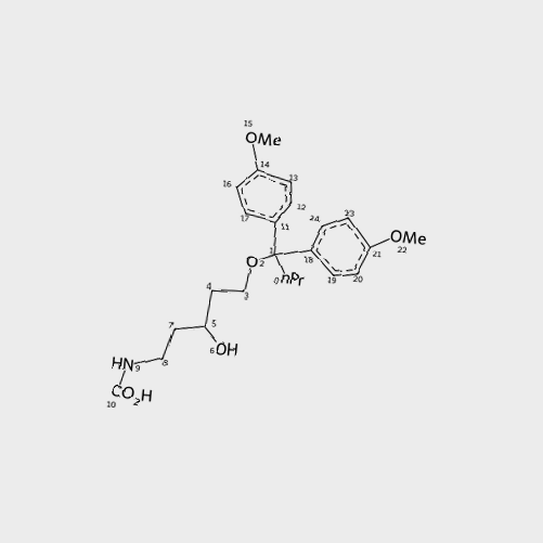 CCCC(OCCC(O)CCNC(=O)O)(c1ccc(OC)cc1)c1ccc(OC)cc1